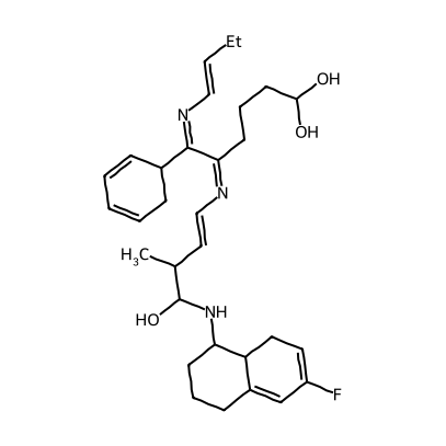 CC/C=C/N=C(\C(CCCC(O)O)=N/C=C/C(C)C(O)NC1CCCC2=CC(F)=CCC21)C1C=CC=CC1